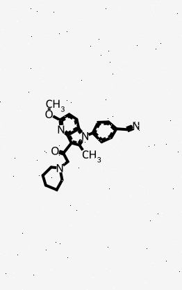 COc1ccc2c(n1)c(C(=O)CN1CCCCC1)c(C)n2-c1ccc(C#N)cc1